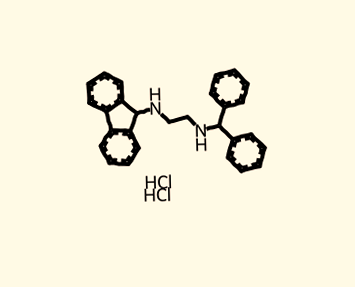 Cl.Cl.c1ccc(C(NCCNC2c3ccccc3-c3ccccc32)c2ccccc2)cc1